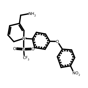 NCC1=C[N+](c2ccc(Oc3ccc([N+](=O)[O-])cc3)cc2)(S(=O)(=O)C(F)(F)F)CC=C1